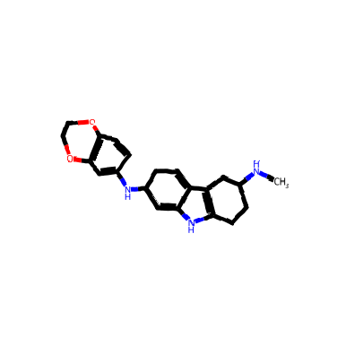 CNC1CCc2[nH]c3c(c2C1)=CCC(Nc1ccc2c(c1)OCCO2)C=3